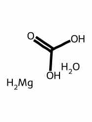 O.O=C(O)O.[MgH2]